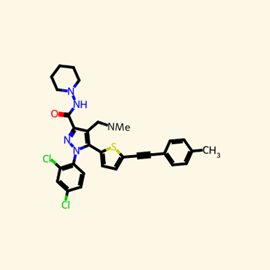 CNCc1c(C(=O)NN2CCCCC2)nn(-c2ccc(Cl)cc2Cl)c1-c1ccc(C#Cc2ccc(C)cc2)s1